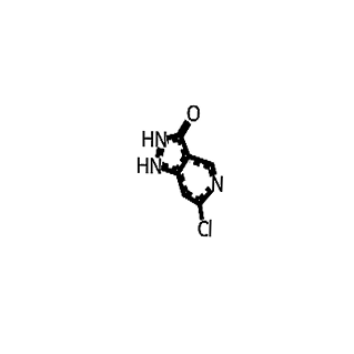 O=c1[nH][nH]c2cc(Cl)ncc12